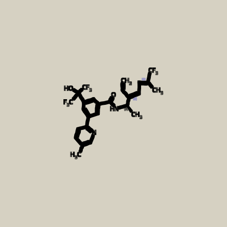 C=C/C(=C\C=C(/C)C(F)(F)F)[C@@H](C)NC(=O)c1cc(-c2ccc(C)cn2)cc(C(O)(C(F)(F)F)C(F)(F)F)c1